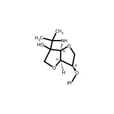 CC(C)O[C@@H]1CO[C@]23NC(C)(C)C2(O)CO[C@H]13